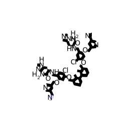 C/N=C/c1cncc(COc2cc(OCc3cccc(-c4cccc(COc5cc(OCc6cncc(C7=NC7)c6)c(CN[C@@H](Cc6cnc[nH]6)C(N)=O)cc5Cl)c4C)c3C)c(Cl)cc2CN[C@@H](Cc2cnc[nH]2)C(N)=O)c1